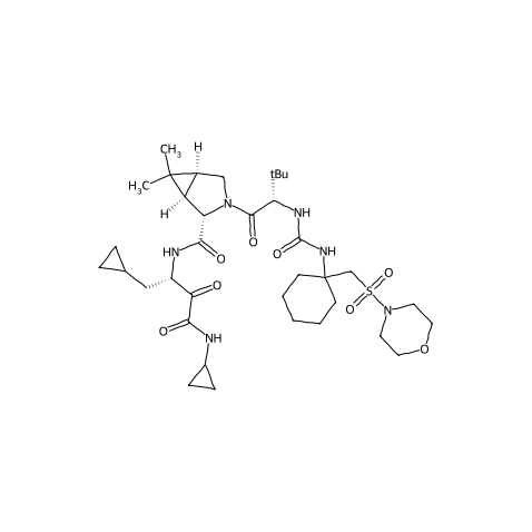 CC(C)(C)[C@H](NC(=O)NC1(CS(=O)(=O)N2CCOCC2)CCCCC1)C(=O)N1C[C@H]2[C@@H]([C@H]1C(=O)N[C@@H](CC1CC1)C(=O)C(=O)NC1CC1)C2(C)C